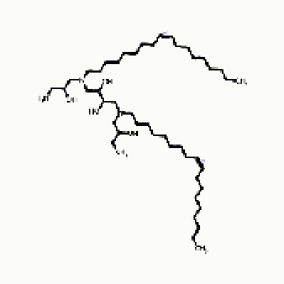 CCCCCCCC/C=C\CCCCCCCCN(CC(O)CN)CC(O)C(O)CN(CCCCCCCC/C=C\CCCCCCCC)CC(O)CN